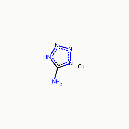 Nc1nnn[nH]1.[Cu]